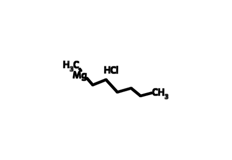 CCCCC[CH2][Mg][CH3].Cl